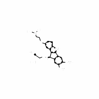 C#CCON=C1c2cc(OC)c(OC)cc2-c2[nH]c3ccc(OCCN(C)C)cc3c21.Cl